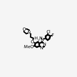 COc1cc2ncnc(N(N)c3ccc(F)c(Cl)c3)c2cc1OCCCN1CCOCC1